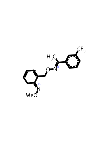 CO/N=C1\CC=C[C]=C1CO/N=C(\C)c1cccc(C(F)(F)F)c1